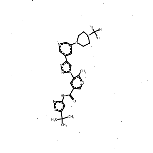 [2H]C([2H])([2H])N1CCN(c2cncc(-c3cn(-c4cc(C(=O)Nc5cc(C(C)(C)C)on5)cnc4C)nn3)c2)CC1